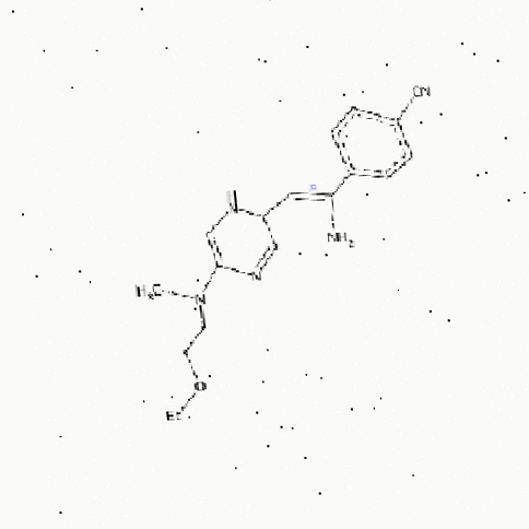 CCOCCN(C)C1=CNC(/C=C(\N)c2ccc(C#N)cc2)C=N1